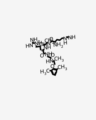 C=C(NC(=O)[C@@H](N)CCCNC=N)C(=O)N[C@@H](CCCNC(=N)N)C(=O)NCC(=O)NC(C)COc1c(C)cccc1C